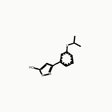 CC(C)Oc1cccc(C2=N[N]C(O)=C2)c1